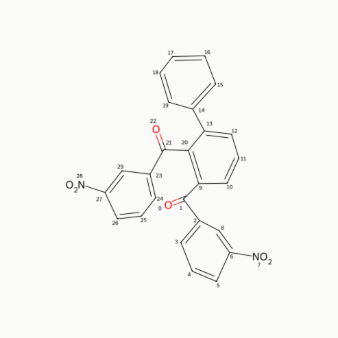 O=C(c1cccc([N+](=O)[O-])c1)c1cccc(-c2ccccc2)c1C(=O)c1cccc([N+](=O)[O-])c1